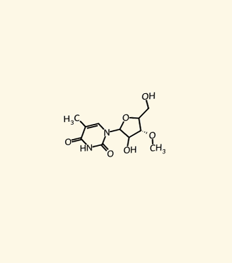 CO[C@H]1C(CO)OC(n2cc(C)c(=O)[nH]c2=O)C1O